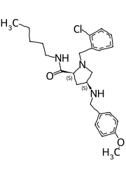 CCCCCNC(=O)[C@@H]1C[C@H](NCc2ccc(OC)cc2)CN1Cc1ccccc1Cl